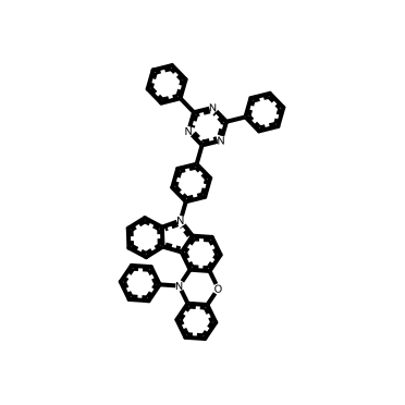 c1ccc(-c2nc(-c3ccccc3)nc(-c3ccc(-n4c5ccccc5c5c6c(ccc54)Oc4ccccc4N6c4ccccc4)cc3)n2)cc1